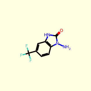 Nn1c(=O)[nH]c2cc(C(F)(F)F)ccc21